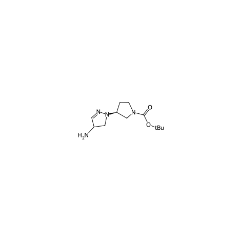 CC(C)(C)OC(=O)N1CC[C@H](N2CC(N)C=N2)C1